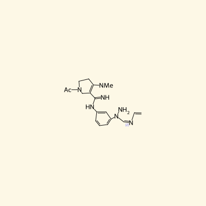 C=C/N=C\N(N)c1cccc(NC(=N)C2=C(NC)CCN(C(C)=O)C2)c1